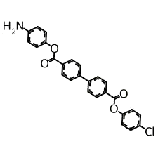 Nc1ccc(OC(=O)c2ccc(-c3ccc(C(=O)Oc4ccc(Cl)cc4)cc3)cc2)cc1